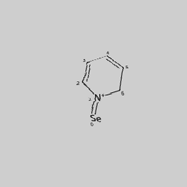 [Se]=[N+]1C=CC=CC1